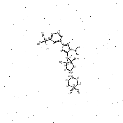 CC(C)n1nc(-c2cncc(C(F)(F)F)c2)cc1[C@H]1[C@@H]2C[C@H](N3CCS(=O)(=O)CC3)C[C@@H]21